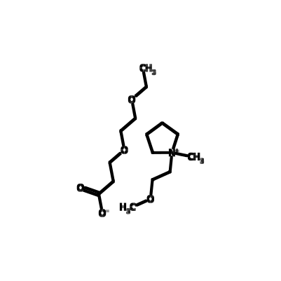 CCOCCOCCC(=O)[O-].COCC[N+]1(C)CCCC1